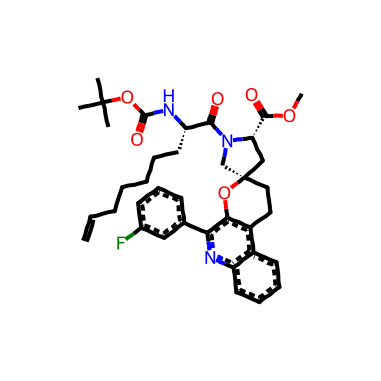 C=CCCCCC[C@H](NC(=O)OC(C)(C)C)C(=O)N1C[C@@]2(CCc3c(c(-c4cccc(F)c4)nc4ccccc34)O2)C[C@H]1C(=O)OC